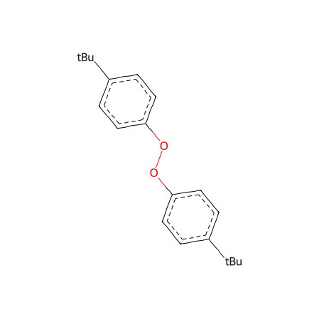 CC(C)(C)c1ccc(OOc2ccc(C(C)(C)C)cc2)cc1